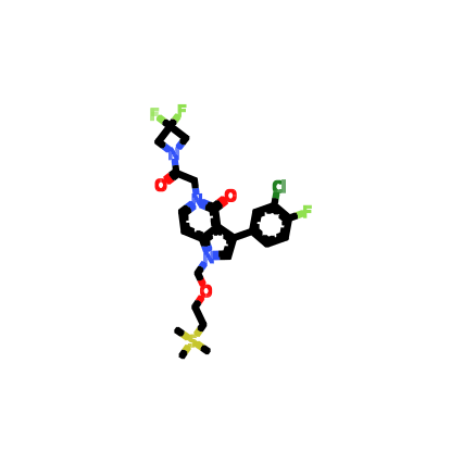 CS(C)(C)CCOCn1cc(-c2ccc(F)c(Cl)c2)c2c(=O)n(CC(=O)N3CC(F)(F)C3)ccc21